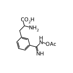 CC(=O)ONC(=N)c1cccc(CC(N)C(=O)O)c1